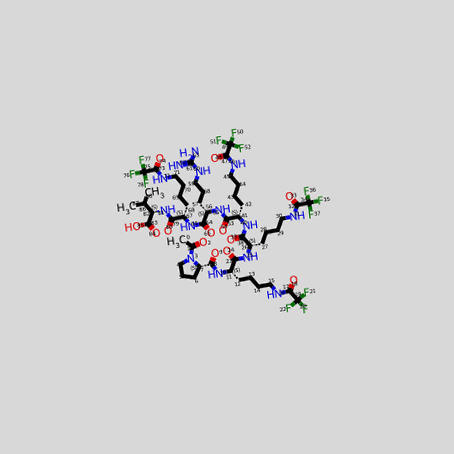 CC(=O)N1CCC[C@H]1C(=O)N[C@@H](CCCCNC(=O)C(F)(F)F)C(=O)N[C@@H](CCCCNC(=O)C(F)(F)F)C(=O)N[C@@H](CCCCNC(=O)C(F)(F)F)C(=O)N[C@@H](CCCNC(=N)N)C(=O)N[C@@H](CCCCNC(=O)C(F)(F)F)C(=O)N[C@H](C(=O)O)C(C)C